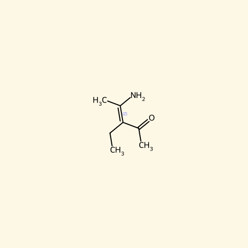 CC/C(C(C)=O)=C(\C)N